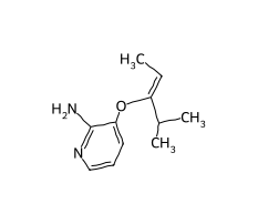 C/C=C(\Oc1cccnc1N)C(C)C